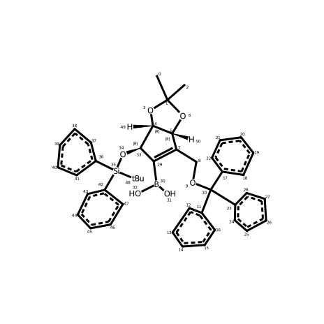 CC1(C)O[C@@H]2[C@H](O1)C(COC(c1ccccc1)(c1ccccc1)c1ccccc1)=C(B(O)O)[C@H]2O[Si](c1ccccc1)(c1ccccc1)C(C)(C)C